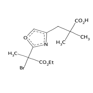 CCOC(=O)C(C)(Br)c1nc(CC(C)(C)C(=O)O)co1